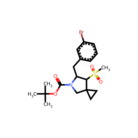 CC(C)(C)OC(=O)N1CC2(CC2)C(S(C)(=O)=O)C1Cc1cccc(Br)c1